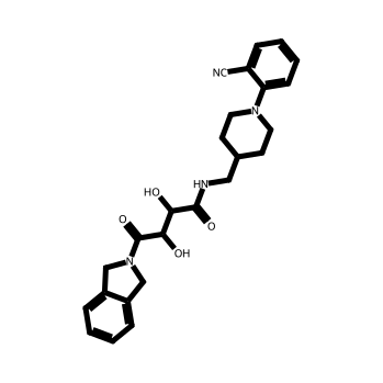 N#Cc1ccccc1N1CCC(CNC(=O)C(O)C(O)C(=O)N2Cc3ccccc3C2)CC1